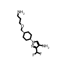 NCCCOC[C@H]1CC[C@H](n2cc(N)c(C(F)F)n2)CC1